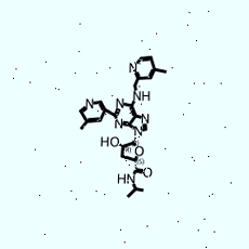 Cc1cncc(-c2nc(NCc3cc(C)ccn3)c3ncn([C@@H]4O[C@H](C(=O)NC(C)C)C[C@H]4O)c3n2)c1